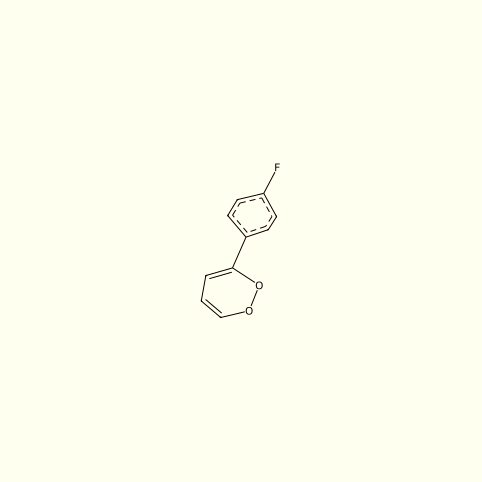 Fc1ccc(C2=CC=COO2)cc1